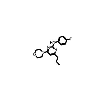 CCCc1cc(N2CCOCC2)nc(Nc2ccc(F)cc2)n1